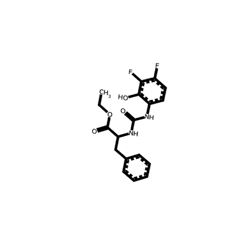 CCOC(=O)C(Cc1ccccc1)NC(=O)Nc1ccc(F)c(F)c1O